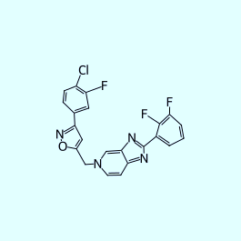 Fc1cc(-c2cc(Cn3ccc4nc(-c5cccc(F)c5F)nc-4c3)on2)ccc1Cl